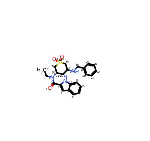 CCN(C(=O)c1cc2ccccc2[nH]1)[C@@H]1CC(NCc2ccccc2)CS(=O)(=O)C1